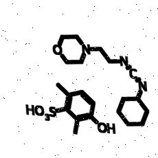 C(=NCCN1CCOCC1)=NC1CCCCC1.Cc1ccc(O)c(C)c1S(=O)(=O)O